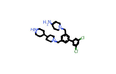 NC1CCN(Cc2cc(CN3CCC(C4CCNCC4)CC3)cc(-c3cc(Cl)cc(Cl)c3)c2)CC1